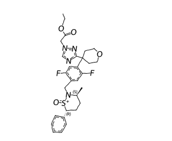 CCOC(=O)Cn1cnc(C2(c3cc(F)c(CN4[C@@H](C)CC[C@H](c5ccccc5)[S+]4[O-])cc3F)CCOCC2)n1